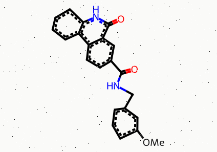 COc1cccc(CNC(=O)c2ccc3c(c2)c(=O)[nH]c2ccccc23)c1